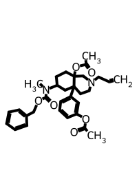 C=CCN1CCC2(c3cccc(OC(C)=O)c3)CC(N(C)C(=O)OCc3ccccc3)CCC2(OC(C)=O)C1